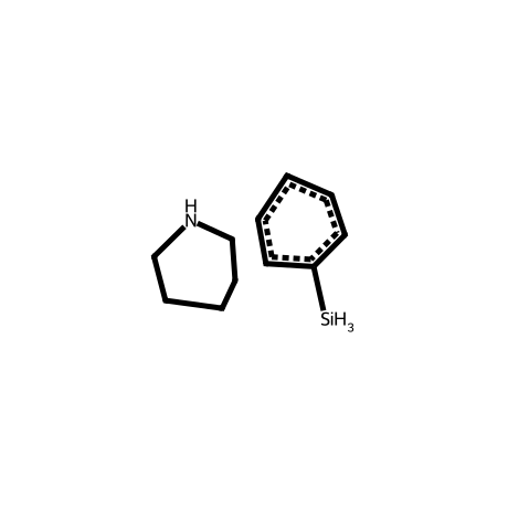 C1CCNCC1.[SiH3]c1ccccc1